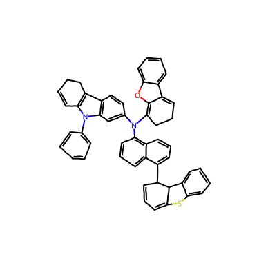 C1=CC(c2cccc3c(N(C4=c5oc6ccccc6c5=CCC4)c4ccc5c6c(n(-c7ccccc7)c5c4)C=CCC6)cccc23)C2C(=C1)Sc1ccccc12